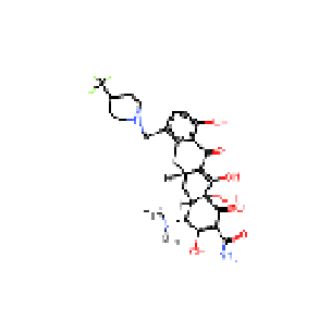 CN(C)[C@H]1C(O)=C(C(N)=O)C(=O)[C@@]2(O)C(O)=C3C(=O)c4c(O)ccc(CN5CCC(C(F)(F)F)CC5)c4C[C@H]3C[C@@H]12